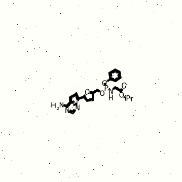 CC(C)OC(=O)CNP(OCC1CCC(c2ccc3c(N)ncnn23)O1)Oc1ccccc1